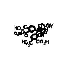 CCCC(c1ccc(C(=O)O)c(C(=O)O)c1)(c1ccc(C(=O)O)c(C(=O)O[N+](=O)[O-])c1)[C@]1(O)CO[C@@H]2[C@@H](O)CO[C@@H]21